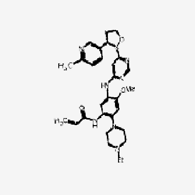 C=CC(=O)Nc1cc(Nc2cc(N3OCCC3c3ccc(C)nc3)ncn2)c(OC)cc1N1CCN(CC)CC1